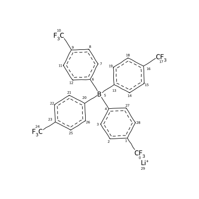 FC(F)(F)c1ccc([B-](c2ccc(C(F)(F)F)cc2)(c2ccc(C(F)(F)F)cc2)c2ccc(C(F)(F)F)cc2)cc1.[Li+]